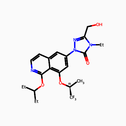 CCC(CC)Oc1nccc2cc(-n3nc(CO)n(CC)c3=O)cc(O[C@@H](C)C(F)(F)F)c12